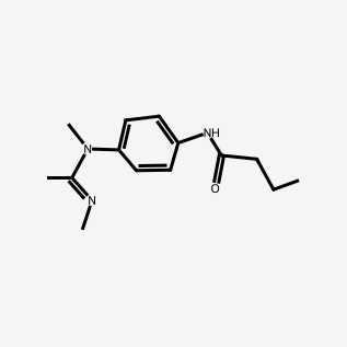 CCCC(=O)Nc1ccc(N(C)C(C)=NC)cc1